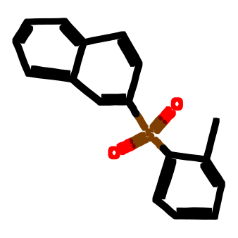 Cc1ccccc1S(=O)(=O)c1ccc2ccccc2c1